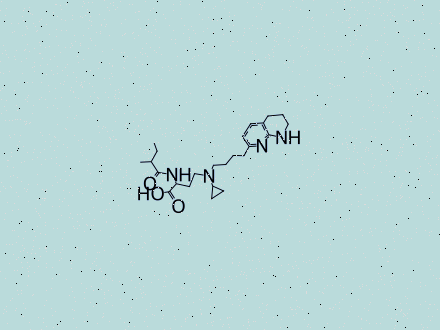 CCC(C)C(=O)NC(CCN(CCCCc1ccc2c(n1)NCCC2)C1CC1)C(=O)O